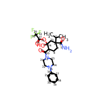 CC(C)C1(C(N)=O)CCC(C(=O)N2CCN(c3ccccc3)CC2)C(O)(OC(=O)C(F)(F)F)C1